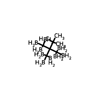 BC(B)(B)C(C(B)(B)B)(C(B)(B)B)C(C)(C)C